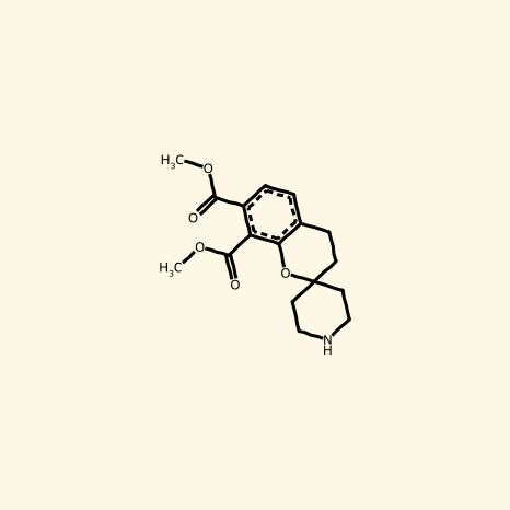 COC(=O)c1ccc2c(c1C(=O)OC)OC1(CCNCC1)CC2